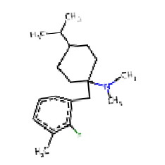 Cc1cccc(CC2(N(C)C)CCC(C(C)C)CC2)c1F